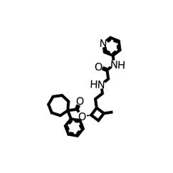 CC1C[C@H](OC(=O)C2(c3ccccc3)CCCCCC2)C1CCNCC(=O)Nc1cccnc1